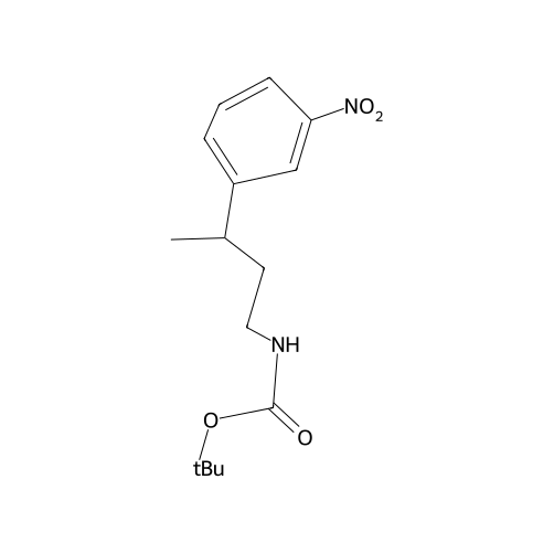 CC(CCNC(=O)OC(C)(C)C)c1cccc([N+](=O)[O-])c1